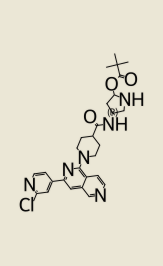 CC(C)(C)C(=O)OC1C[C@@H](NC(=O)C2CCN(c3nc(-c4ccnc(Cl)c4)cc4cnccc34)CC2)CN1